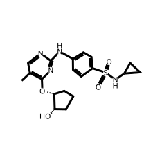 Cc1cnc(Nc2ccc(S(=O)(=O)NC3CC3)cc2)nc1O[C@@H]1CCC[C@@H]1O